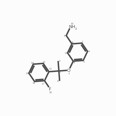 CC(C)(Oc1cccc(CN)c1)c1ccccc1F